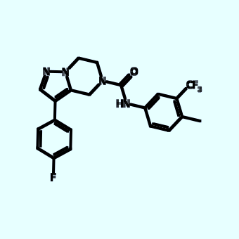 Cc1ccc(NC(=O)N2CCn3ncc(-c4ccc(F)cc4)c3C2)cc1C(F)(F)F